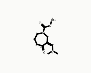 CN(C)/C=C1/CN(C(=O)OC(C)(C)C)CCCC1=O